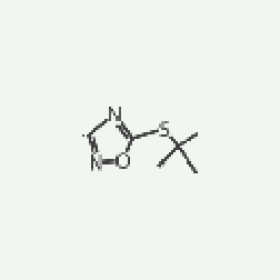 CC(C)(C)Sc1n[c]no1